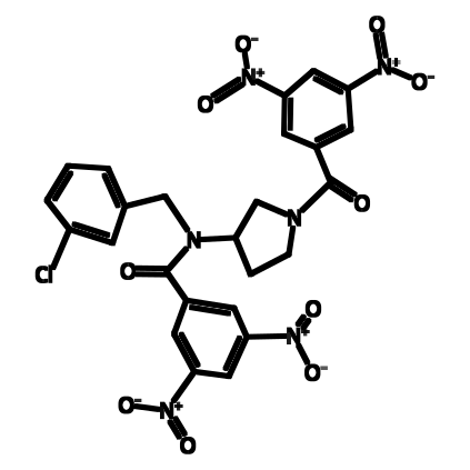 O=C(c1cc([N+](=O)[O-])cc([N+](=O)[O-])c1)N1CCC(N(Cc2cccc(Cl)c2)C(=O)c2cc([N+](=O)[O-])cc([N+](=O)[O-])c2)C1